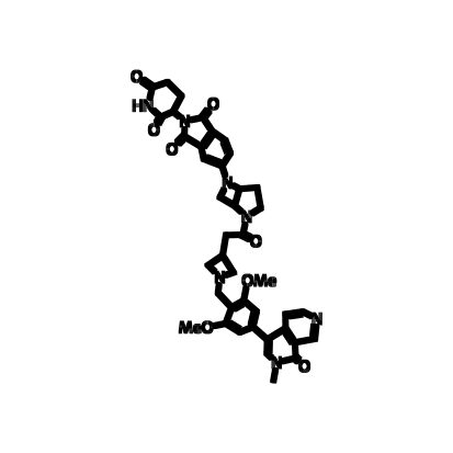 COc1cc(-c2cn(C)c(=O)c3cnccc23)cc(OC)c1CN1CC(CC(=O)N2CCC3C2CN3c2ccc3c(c2)C(=O)N(C2CCC(=O)NC2=O)C3=O)C1